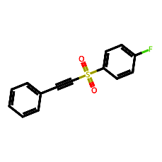 O=S(=O)(C#Cc1ccccc1)c1ccc(F)cc1